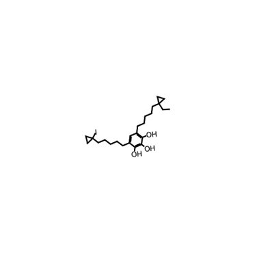 CCC1(CCCCCc2cc(CCCCCC3(I)CC3)c(O)c(O)c2O)CC1